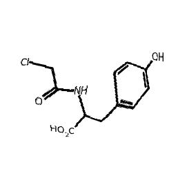 O=C(CCl)NC(Cc1ccc(O)cc1)C(=O)O